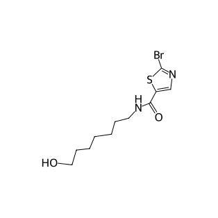 O=C(NCCCCCCCO)c1cnc(Br)s1